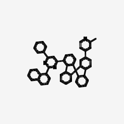 Cc1cc(-c2ccc3c(c2)C2(c4ccccc4-3)c3ccccc3-c3c(-c4cc(-c5ccccc5)nc(-c5cccc6ccccc56)n4)cccc32)ccn1